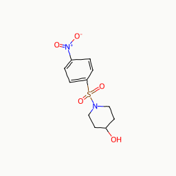 O=[N+]([O-])c1ccc(S(=O)(=O)N2CCC(O)CC2)cc1